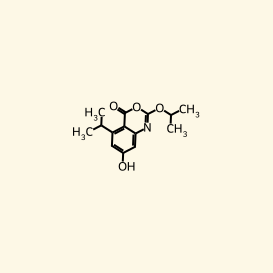 CC(C)Oc1nc2cc(O)cc(C(C)C)c2c(=O)o1